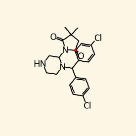 CC1(C)CC(=O)N(C2CNCCN2C(c2ccc(Cl)cc2)c2ccc(Cl)cc2)C1=O